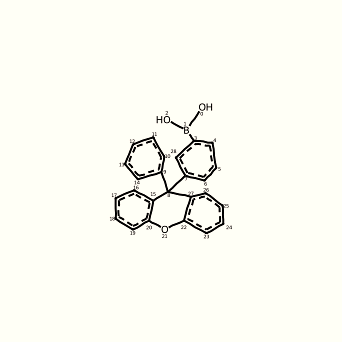 OB(O)c1cccc(C2(c3ccccc3)c3ccccc3Oc3ccccc32)c1